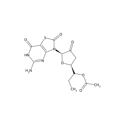 CCC(OC(C)=O)[C@@H]1CC(=O)[C@H](n2c(=O)sc3c(=O)[nH]c(N)nc32)O1